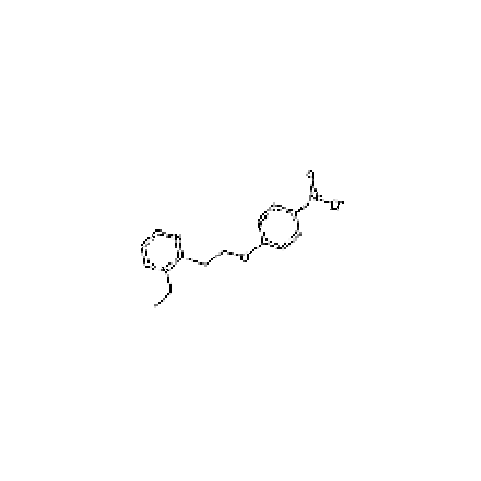 CCc1cccnc1CCOc1ccc([N+](=O)[O-])cc1